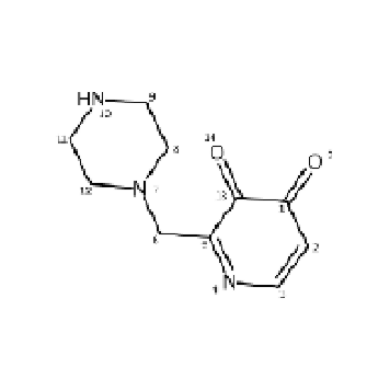 O=C1C=CN=C(CN2CCNCC2)C1=O